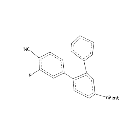 CCCCCc1ccc(-c2ccc(C#N)c(F)c2)c(-c2ccccc2)c1